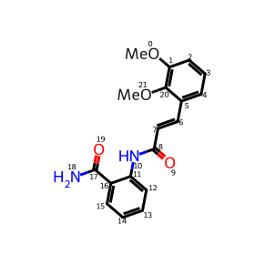 COc1cccc(C=CC(=O)Nc2ccccc2C(N)=O)c1OC